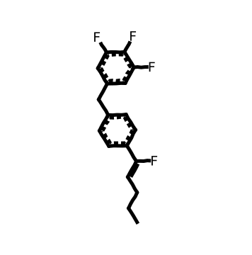 CCCC=C(F)c1ccc(Cc2cc(F)c(F)c(F)c2)cc1